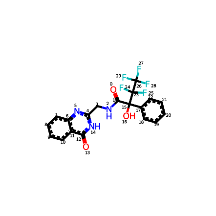 O=C(NCc1nc2ccccc2c(=O)[nH]1)C(O)(c1ccccc1)C(F)(F)C(F)(F)F